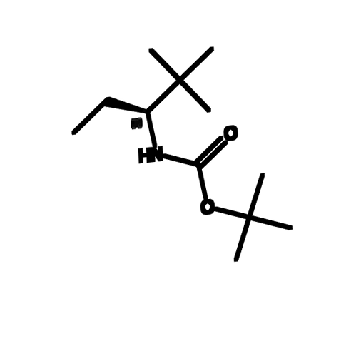 CC[C@H](NC(=O)OC(C)(C)C)C(C)(C)C